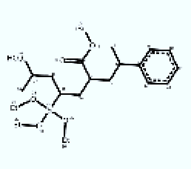 CCCCOC(=O)C(CC(C)c1ccccc1)CC(CC(C)C(=O)O)[Si](OCC)(OCC)OCC